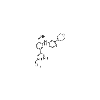 CCN/C=C(\C=N)c1ccc(C=N)c(Nc2ccnc(N3CCOCC3)c2)c1